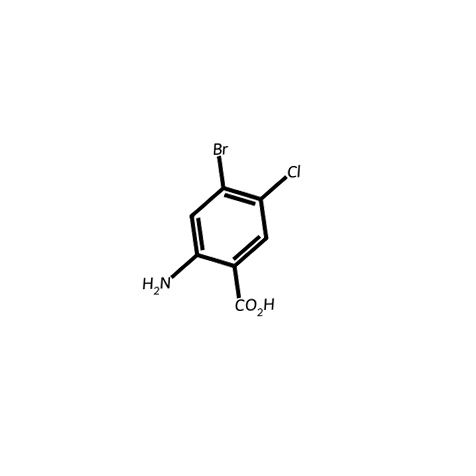 Nc1cc(Br)c(Cl)cc1C(=O)O